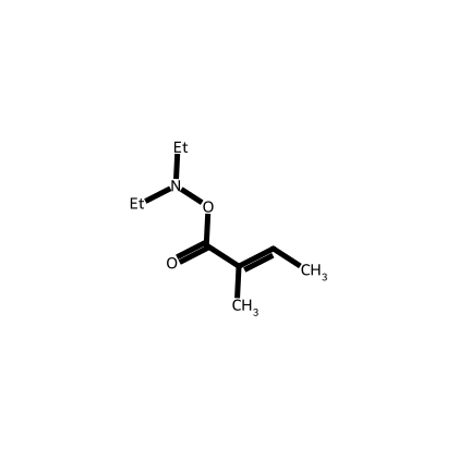 CC=C(C)C(=O)ON(CC)CC